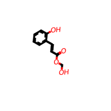 O=C(/C=C/c1ccccc1O)OCO